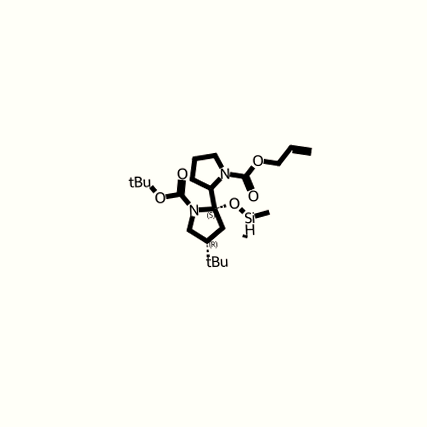 C=CCOC(=O)N1CCCC1[C@@]1(O[SiH](C)C)C[C@H](C(C)(C)C)CN1C(=O)OC(C)(C)C